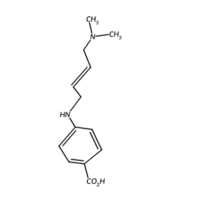 CN(C)CC=CCNc1ccc(C(=O)O)cc1